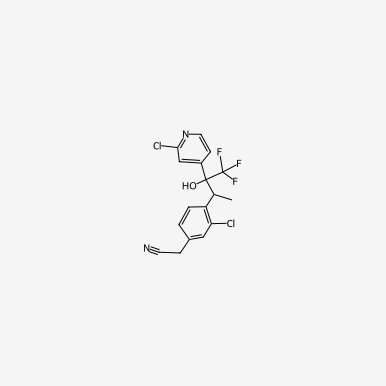 CC(c1ccc(CC#N)cc1Cl)C(O)(c1ccnc(Cl)c1)C(F)(F)F